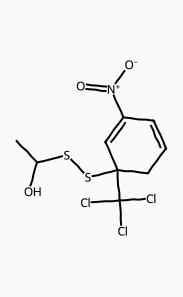 CC(O)SSC1(C(Cl)(Cl)Cl)C=C([N+](=O)[O-])C=CC1